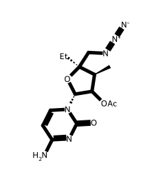 CC[C@@]1(CN=[N+]=[N-])O[C@@H](n2ccc(N)nc2=O)C(OC(C)=O)[C@@H]1C